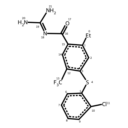 CCc1cc(Sc2ccccc2Cl)c(C(F)(F)F)cc1C(=O)N=C(N)N